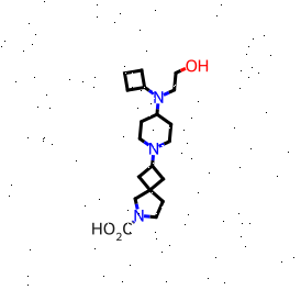 O=C(O)N1CCC2(CC(N3CCC(N(CCO)C4CCC4)CC3)C2)C1